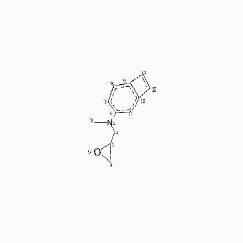 CN(CC1CO1)c1ccc2c(c1)C=C2